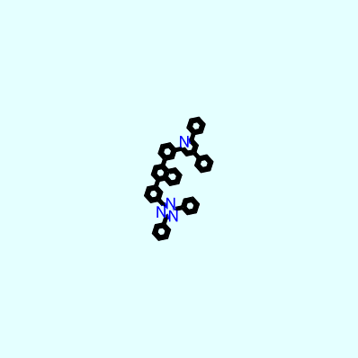 c1ccc(-c2cc(-c3ccccc3)nc(-c3cccc(-c4ccc(-c5cccc(-c6nc(-c7ccccc7)nc(-c7ccccc7)n6)c5)c5ccccc45)c3)c2)cc1